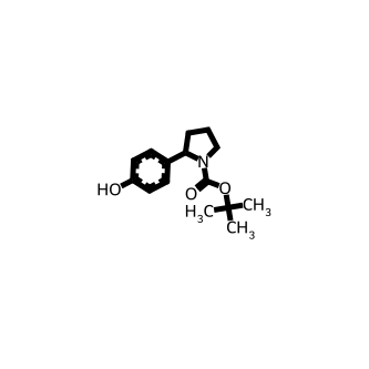 CC(C)(C)OC(=O)N1CCCC1c1ccc(O)cc1